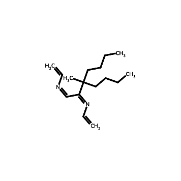 C=C/N=C\C(=N/C=C)C(C)(CCCC)CCCC